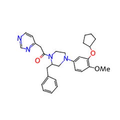 COc1ccc(N2CCN(C(=O)Cc3ccncn3)C(Cc3ccccc3)C2)cc1OC1CCCC1